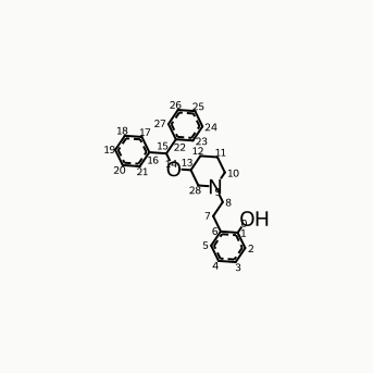 Oc1ccccc1CCN1CCCC(OC(c2ccccc2)c2ccccc2)C1